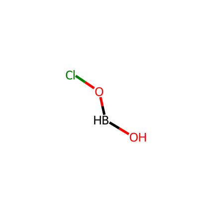 OBOCl